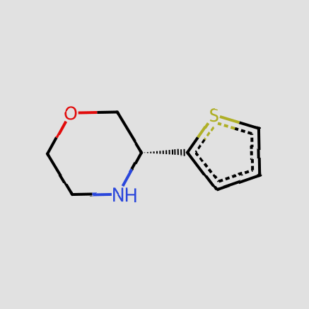 c1csc([C@H]2COCCN2)c1